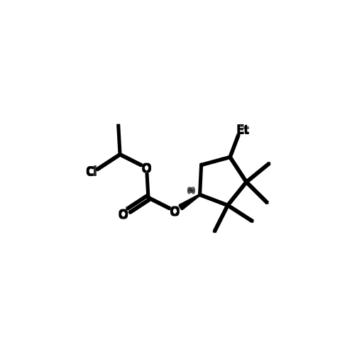 CCC1C[C@H](OC(=O)OC(C)Cl)C(C)(C)C1(C)C